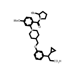 COc1ccc(C(=O)N2CCCC2C(C)(C)C)c(N2CCC(COc3cccc(C(CC(=O)O)C4CC4)c3)CC2)c1